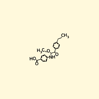 CCCc1ccc(C(=O)C(Nc2ccc(C(=O)O)cc2)OCC)cc1